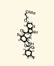 COCCOc1cnc2[nH]cc(C(=O)c3c(F)ccc(NS(=O)(=O)c4cccc(F)c4)c3F)c2c1